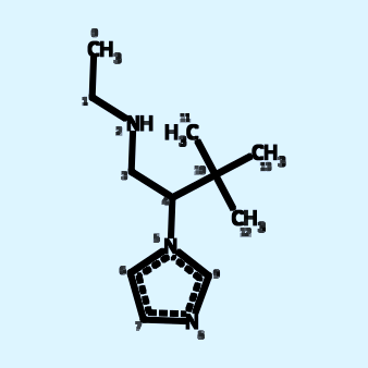 CCNCC(n1ccnc1)C(C)(C)C